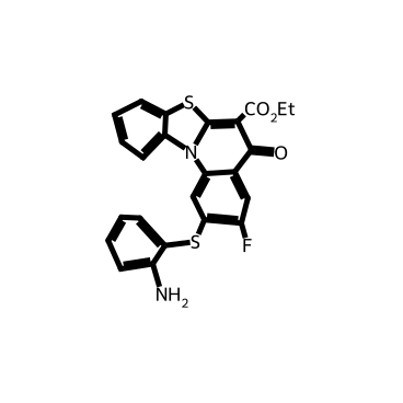 CCOC(=O)c1c(=O)c2cc(F)c(Sc3ccccc3N)cc2n2c1sc1ccccc12